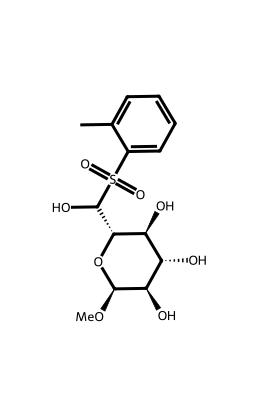 CO[C@H]1O[C@H](C(O)S(=O)(=O)c2ccccc2C)[C@@H](O)[C@H](O)[C@H]1O